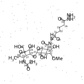 COC1C(O)C2(C(=O)NNC(=O)CCCCC(=O)NN)C3OC(OC4C(O)C5(CO)OC(C)C(NC(=O)P)C45)C3(O)C12